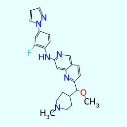 COC(c1ccc2cnc(Nc3ccc(-n4cccn4)cc3F)cc2n1)C1CCN(C)CC1